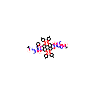 C=C(C)C(=O)NCCN(CC)C(=O)C(Cc1ccccc1)N1C(=O)c2cc(Oc3ccc(C)cc3)c3c4c(Oc5ccc(C)cc5)cc5c6c(cc(Oc7ccc(C)cc7)c(c7c(Oc8ccc(C)cc8)cc(c2c37)C1=O)c64)C(=O)N(C(Cc1ccccc1)C(=O)N(CC)CCNC(=O)C(C)C)C5=O